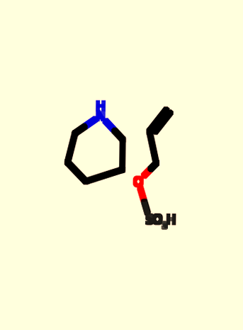 C1CCNCC1.C=CCOS(=O)(=O)O